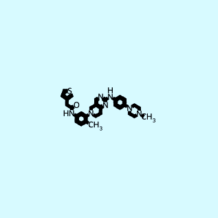 Cc1ccc(NC(=O)Cc2ccsc2)cc1N1CCc2nc(Nc3ccc(N4CCN(C)CC4)cc3)ncc2C1